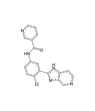 O=C(Nc1ccc(Cl)c(-c2nc3cnccc3[nH]2)c1)c1cccnc1